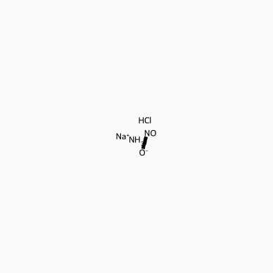 Cl.N.O=N[O-].[Na+]